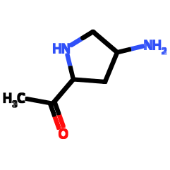 CC(=O)C1CC(N)CN1